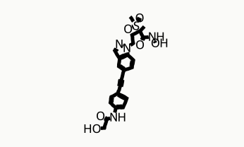 CC(CCn1ncc2cc(C#Cc3ccc(NC(=O)CO)cc3)ccc21)(C(=O)NO)S(C)(=O)=O